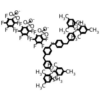 Cc1cc(C)c([S+](c2ccc(Cc3ccc([I+]c4ccc(Cc5ccc([S+](c6c(C)cc(C)cc6C)c6c(C)cc(C)cc6C)cc5)cc4)cc3)cc2)c2c(C)cc(C)cc2C)c(C)c1.O=S(=O)([O-])c1c(F)c(F)c(F)c(F)c1F.O=S(=O)([O-])c1c(F)c(F)c(F)c(F)c1F.O=S(=O)([O-])c1c(F)c(F)c(F)c(F)c1F